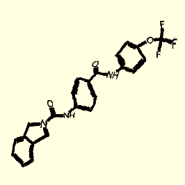 O=C(Nc1ccc(OC(F)(F)F)cc1)c1ccc(NC(=O)N2Cc3ccccc3C2)cc1